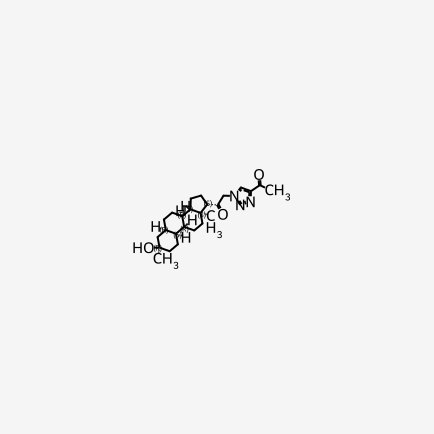 CC(=O)c1cn(CC(=O)[C@H]2CC[C@H]3[C@@H]4CC[C@@H]5C[C@](C)(O)CC[C@@H]5[C@H]4CC[C@]23C)nn1